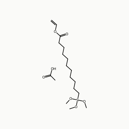 C=COC(=O)CCCCCCCCCC[Si](OC)(OC)OC.CC(=O)O